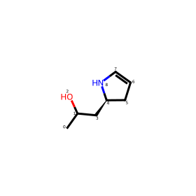 CC(O)C[C@@H]1CC=CN1